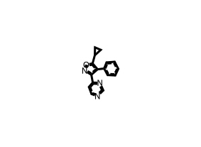 c1ccc(-c2c(-c3ccncn3)noc2C2CC2)cc1